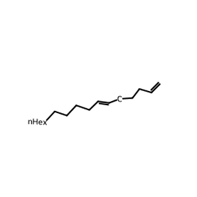 [CH2]CCCCCCCCC/C=C/CCCC=C